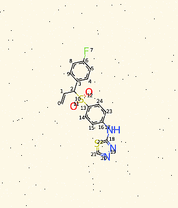 C=CC(c1ccc(F)cc1)S(=O)(=O)c1ccc(Nc2nncs2)cc1